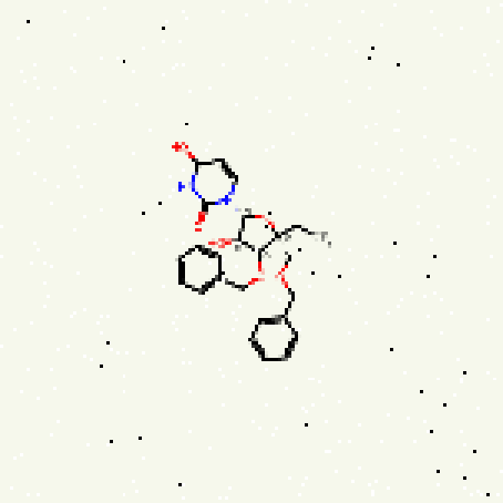 O=C1NC(O)C=CN1[C@@H]1O[C@@](COCc2ccccc2)(CC(F)(F)F)[C@@H](OCc2ccccc2)[C@H]1O